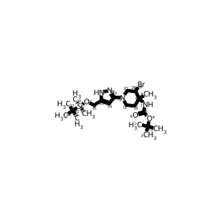 CC(C)(C)OC(=O)NC1(C)CCN(c2cc(CO[Si](C)(C)C(C)(C)C)[nH]n2)CC1Br